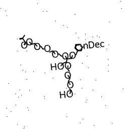 C=C(C)C(=O)OCCOCCOCCOCCOC(COCc1cccc(CCCCCCCCCC)c1)C(CO)OCCOCCOCCO